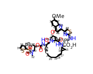 COc1ccc2c(O[C@@H]3C[C@H]4C(=O)N[C@]5(C(=O)O)CC5/C=C\CCCCC[C@H](NC(=O)OC(CN(C)S(=O)(=O)c5cccs5)C(C)(C)C)C(=O)N4C3)cc(-c3csc(NC(C)C)n3)nc2c1